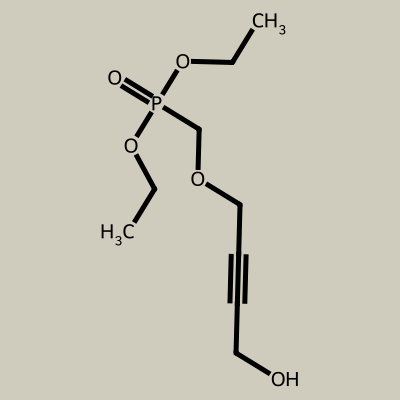 CCOP(=O)(COCC#CCO)OCC